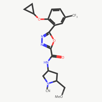 COCC1CC(NC(=O)c2nnc(-c3cc(C(F)(F)F)ccc3OC3CC3)o2)CN1C#N